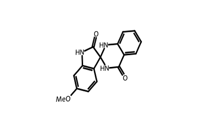 COc1ccc2c(c1)NC(=O)C21NC(=O)c2ccccc2N1